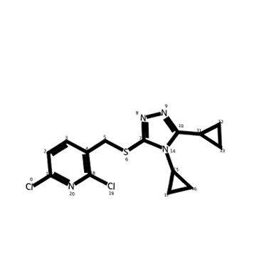 Clc1ccc(CSc2nnc(C3CC3)n2C2CC2)c(Cl)n1